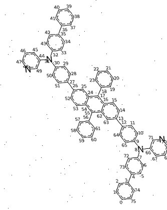 c1ccc(-c2ccc(N(c3ccc(-c4ccc5c(-c6ccccc6)c6cc(-c7ccc(N(c8ccc(-c9ccccc9)cc8)c8cccnc8)cc7)ccc6c(-c6ccccc6)c5c4)cc3)c3cccnc3)cc2)cc1